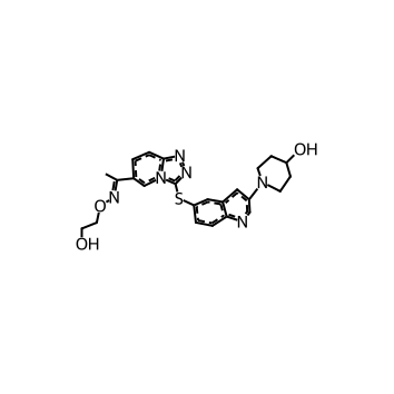 CC(=NOCCO)c1ccc2nnc(Sc3ccc4ncc(N5CCC(O)CC5)cc4c3)n2c1